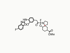 COC(=O)C1CCC(OC(F)(C(=O)Cc2ccc(Nc3nc4cc(F)ccc4o3)c(Cl)c2)N2CCCC2)CC1